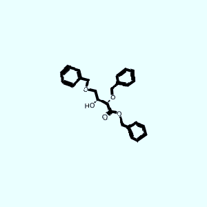 O=C(OCc1ccccc1)[C@@H](OCc1ccccc1)[C@H](O)COCc1ccccc1